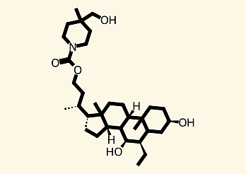 CC[C@@H]1C2C[C@H](O)CCC2(C)[C@H]2CCC3(C)[C@@H]([C@H](C)CCOC(=O)N4CCC(C)(CO)CC4)CC[C@H]3C2[C@@H]1O